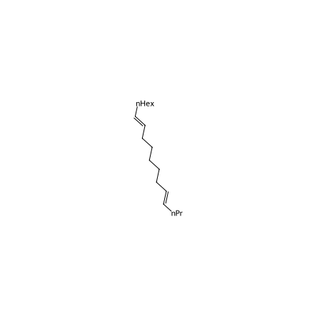 [CH2]CCC=CCCCCCC=CCCCCCC